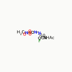 C=CC(=O)N1CC(S(=O)(=O)c2ccc(N3CC(CN4CCC(C(C#N)(c5cccc(F)c5)[C@H]5CCC[C@@H]5NC(C)=O)CC4)C3)cc2)C1